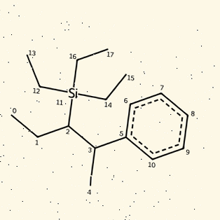 CCC(C(I)c1ccccc1)[Si](CC)(CC)CC